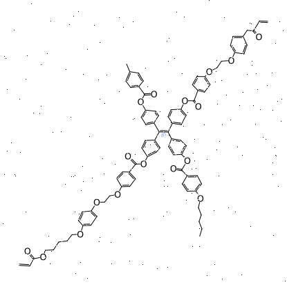 C=CC(=O)Cc1ccc(OCCOc2ccc(C(=O)Oc3ccc(/C(=C(\c4ccc(OC(=O)c5ccc(C)cc5)cc4)c4ccc(OC(=O)c5ccc(OCCOc6ccc(OCCCCCOC(=O)C=C)cc6)cc5)cc4)c4ccc(OC(=O)c5ccc(OCCCCC)cc5)cc4)cc3)cc2)cc1